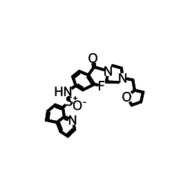 O=C(c1ccc(N[S+]([O-])c2cccc3cccnc23)cc1F)N1CCN(CC2CCCO2)CC1